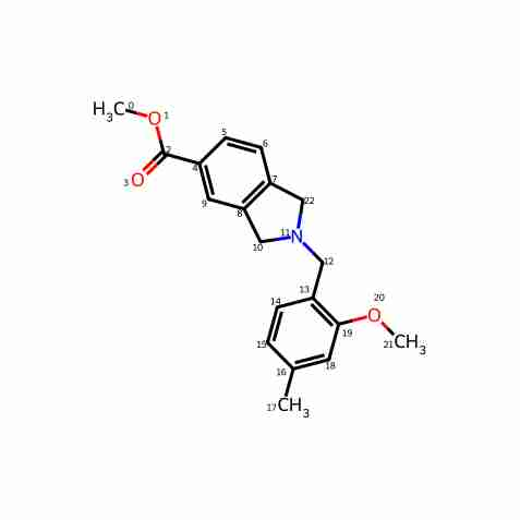 COC(=O)c1ccc2c(c1)CN(Cc1ccc(C)cc1OC)C2